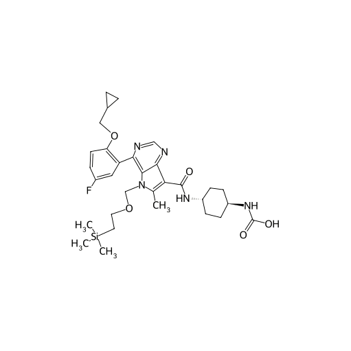 Cc1c(C(=O)N[C@H]2CC[C@H](NC(=O)O)CC2)c2ncnc(-c3cc(F)ccc3OCC3CC3)c2n1COCC[Si](C)(C)C